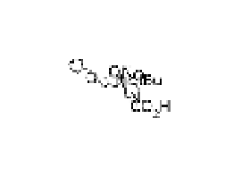 CN1C(=O)N(CC2CC(OCc3ccccc3)C2)C2(CCN(C(=O)O)CC2C(C)(C)C)C1=O